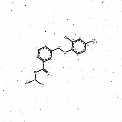 CC(=O)[C@@H](NC(=O)c1cccc(COc2ccc(C(F)(F)F)cc2Cl)c1)C(C)C